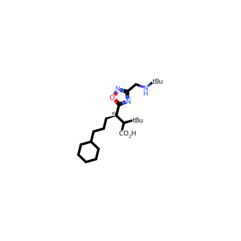 CC(C)(C)NCc1noc([C@H](CCCC2CCCCC2)C(C(=O)O)C(C)(C)C)n1